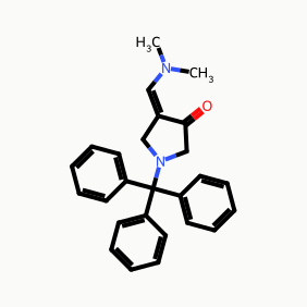 CN(C)/C=C1/CN(C(c2ccccc2)(c2ccccc2)c2ccccc2)CC1=O